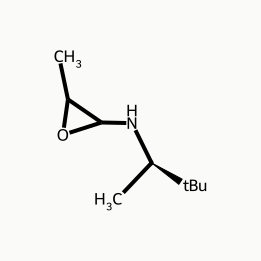 CC1OC1N[C@H](C)C(C)(C)C